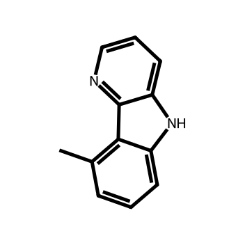 Cc1cccc2[nH]c3cccnc3c12